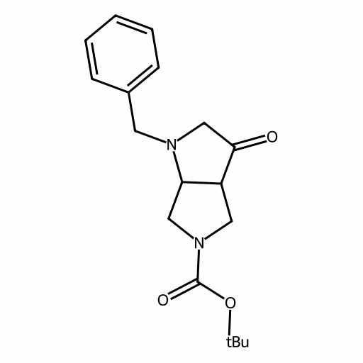 CC(C)(C)OC(=O)N1CC2C(=O)CN(Cc3ccccc3)C2C1